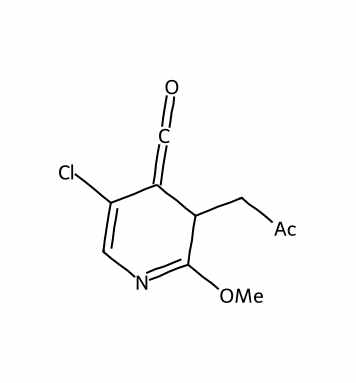 COC1=NC=C(Cl)C(=C=O)C1CC(C)=O